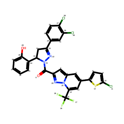 O=C(c1cc2cc(-c3ccc(Cl)s3)cc(C(F)(F)F)n2n1)N1N=C(c2ccc(Cl)c(Cl)c2)CC1c1ccccc1O